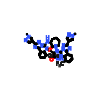 COc1cccc2c1nc(N[C@@H]1CCCCN(N(c3nc4c(C(F)(F)F)cccc4c4nc(-c5cnn(C)c5)nn34)[C@H](C)C(N)=O)C1=O)n1nc(-c3cnn(C)c3)nc21